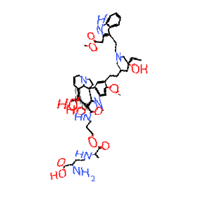 CCC1(O)CC(CCc2cc3c(cc2OC)N(C)C2C34CCN3CC=C[C@](CC)(C34)[C@@H](O)[C@]2(O)C(=O)NCCCOC(=O)C(C)NCCC(N)C(=O)O)CN(CCc2c(CC(=O)OC)[nH]c3ccccc23)C1